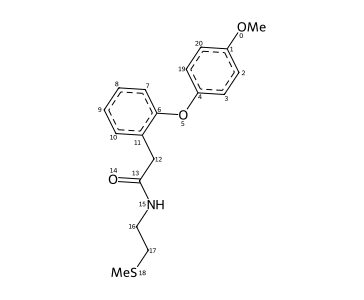 COc1ccc(Oc2ccccc2CC(=O)NCCSC)cc1